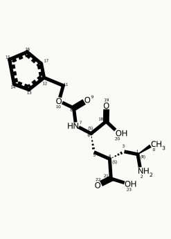 C[C@@H](N)C[C@@H](C[C@H](NC(=O)OCc1ccccc1)C(=O)O)C(=O)O